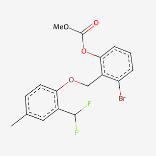 COC(=O)Oc1cccc(Br)c1COc1ccc(C)cc1C(F)F